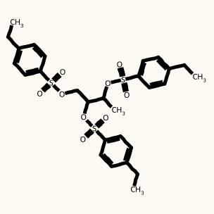 CCc1ccc(S(=O)(=O)OCC(OS(=O)(=O)c2ccc(CC)cc2)C(C)OS(=O)(=O)c2ccc(CC)cc2)cc1